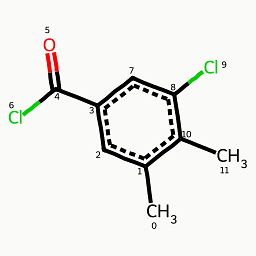 Cc1cc(C(=O)Cl)cc(Cl)c1C